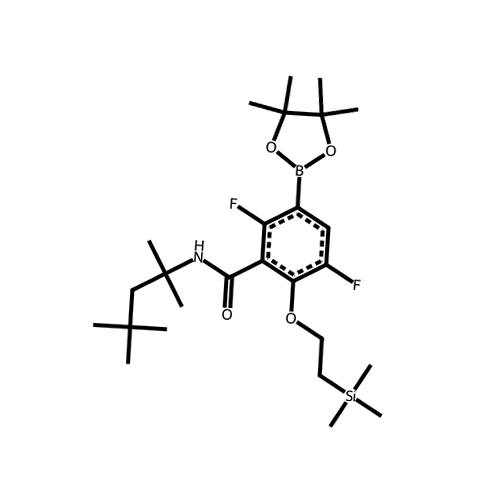 CC(C)(C)CC(C)(C)NC(=O)c1c(F)c(B2OC(C)(C)C(C)(C)O2)cc(F)c1OCC[Si](C)(C)C